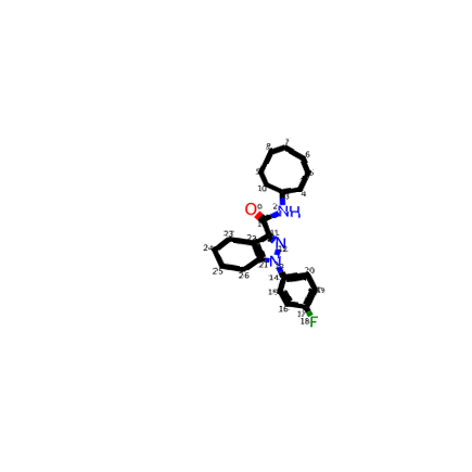 O=C(NC1CCCCCCC1)c1nn(-c2ccc(F)cc2)c2c1CCCC2